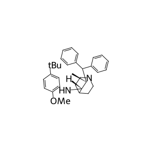 COc1ccc(C(C)(C)C)cc1N[C@H]1C2CCN(CC2)[C@@]1(C)C(c1ccccc1)c1ccccc1